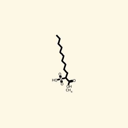 C.CCCCCCCCCCC(C(=O)O)S(=O)(=O)O